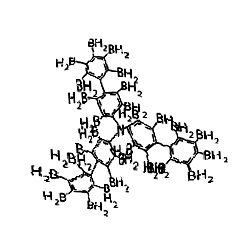 Bc1c(B)c(B)c(-c2c(B)c(B)c(N(c3c(B)c(B)c(-c4c(B)c(B)c(B)c(B)c4B)c(B)c3B)c3c(B)c(B)c(-c4c(B)c(B)c(B)c(B)c4B)c(B)c3B)c(B)c2B)c(B)c1B